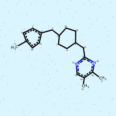 Cc1ccc(CC2CCC(Cc3ncc(C)c(C)n3)CC2)cc1